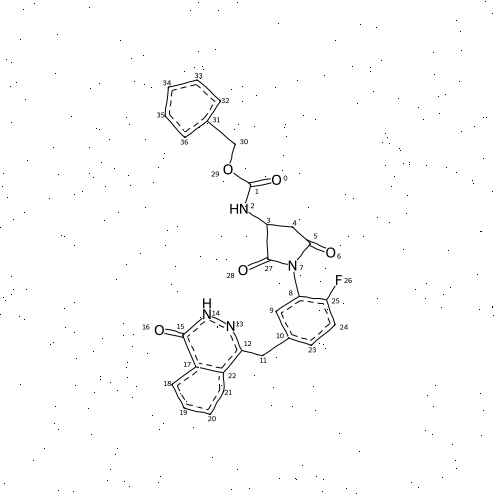 O=C(NC1CC(=O)N(c2cc(Cc3n[nH]c(=O)c4ccccc34)ccc2F)C1=O)OCc1ccccc1